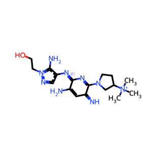 C[N+](C)(C)C1CCN(C2=N/C(=N/c3cnn(CCO)c3N)C(N)=CC2=N)C1